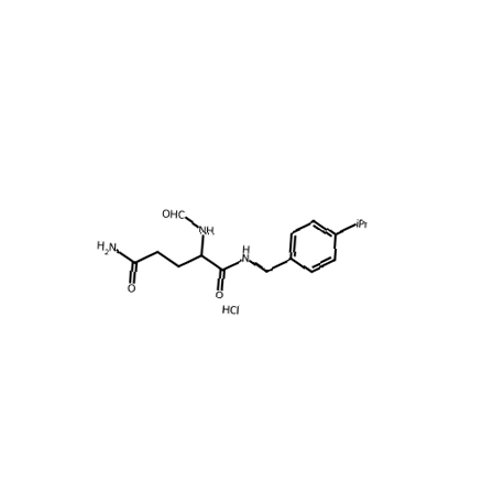 CC(C)c1ccc(CNC(=O)C(CCC(N)=O)NC=O)cc1.Cl